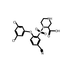 N#Cc1ccc(Oc2cc(Cl)cc(Cl)c2)c(S(=O)(=O)N2CCNCC2C(=O)O)c1